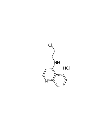 Cl.ClCCNc1ccnc2ccccc12